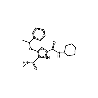 CNC(=O)c1[nH]c(C(=O)NC2CCCCC2)cc1OC(C)c1ccccc1